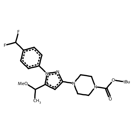 COC(C)c1cc(N2CCN(C(=O)OC(C)(C)C)CC2)nn1-c1ccc(C(F)F)cc1